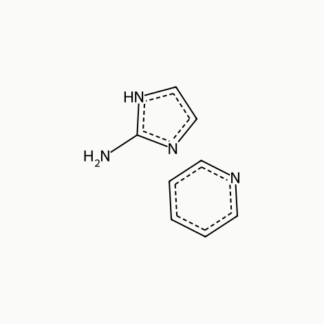 Nc1ncc[nH]1.c1ccncc1